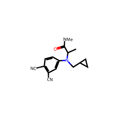 CNC(=O)C(C)N(CC1CC1)c1ccc(C#N)c(C#N)c1